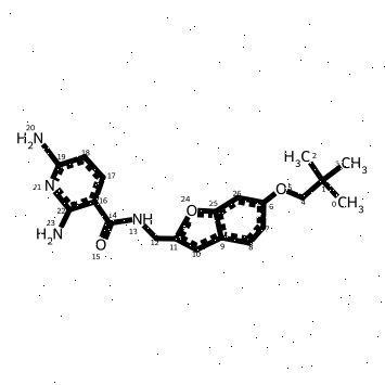 CC(C)(C)COc1ccc2cc(CNC(=O)c3ccc(N)nc3N)oc2c1